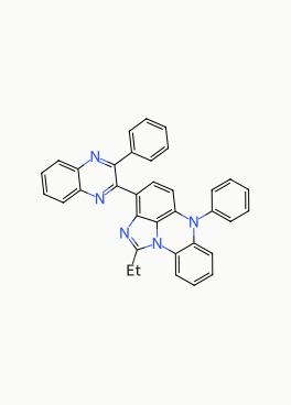 CCc1nc2c(-c3nc4ccccc4nc3-c3ccccc3)ccc3c2n1-c1ccccc1N3c1ccccc1